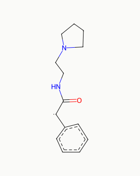 O=C([CH]c1ccccc1)NCCN1CCCC1